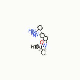 CCCCC(=O)N(Cc1ccc2cc(-c3ccccc3-c3nnn[nH]3)ccc2c1)CC1(C(=O)O)CCCCC1